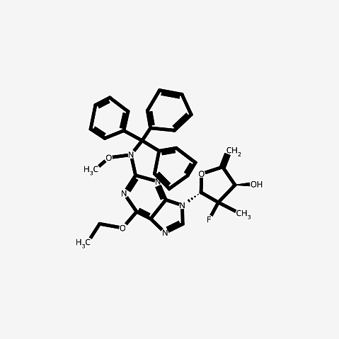 C=C1O[C@@H](n2cnc3c(OCC)nc(N(OC)C(c4ccccc4)(c4ccccc4)c4ccccc4)nc32)C(C)(F)[C@@H]1O